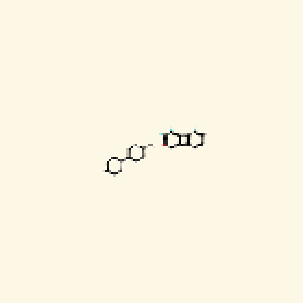 CCc1ccc2c(c1F)-c1c-2cc(OCC2CCC(C3CCC(C)CC3)CC2)c(F)c1F